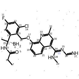 B[C@@](C)(NC(=O)CC)c1cc(F)cc(Cl)c1COc1cccc2c(/C(=N/C=N)NC)cc(C)nc12